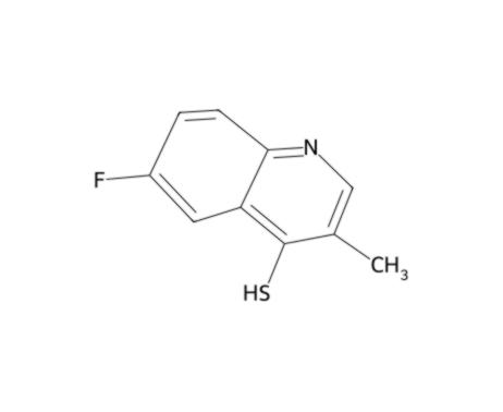 Cc1cnc2ccc(F)cc2c1S